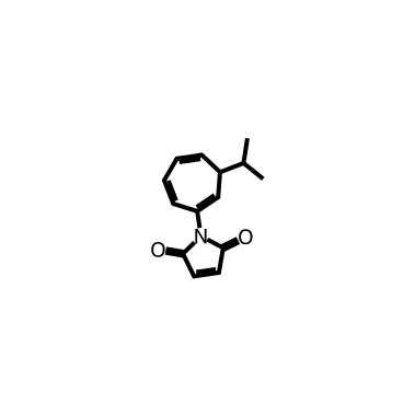 CC(C)C1C=CC=CC(N2C(=O)C=CC2=O)=C1